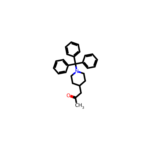 CC(=O)CC1CCN(C(c2ccccc2)(c2ccccc2)c2ccccc2)CC1